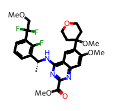 COCC(F)(F)c1cccc([C@@H](C)Nc2nc(C(=O)OC)nc3cc(OC)c(C4(OC)CCOCC4)cc23)c1F